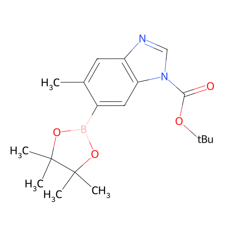 Cc1cc2ncn(C(=O)OC(C)(C)C)c2cc1B1OC(C)(C)C(C)(C)O1